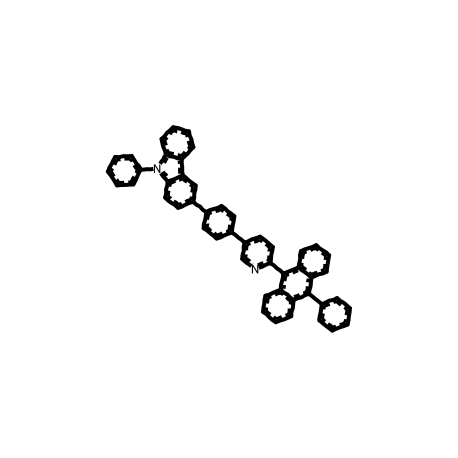 c1ccc(-c2c3ccccc3c(-c3ccc(-c4ccc(-c5ccc6c(c5)c5ccccc5n6-c5ccccc5)cc4)cn3)c3ccccc23)cc1